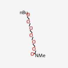 CCCCOCCOCCOCCOCCOCCOCC(=O)NC